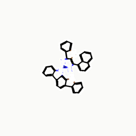 c1ccc2c(-c3nc(-n4c5ccccc5c5ccc6c7ccccc7sc6c54)nc4c3sc3ccccc34)cccc2c1